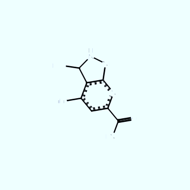 CC(C)c1cc(C(N)=O)nc2c1C(C)NN2